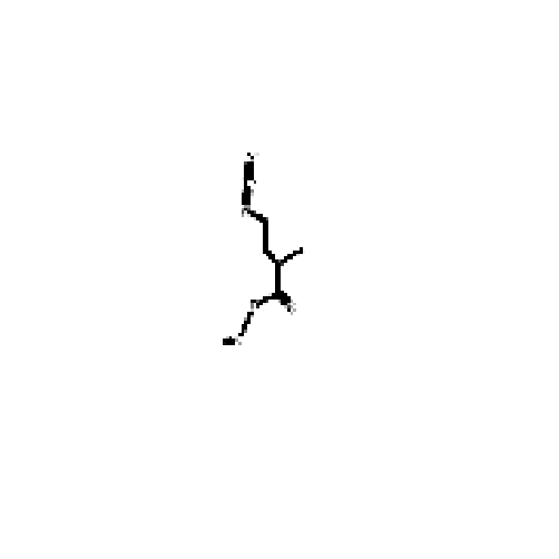 CCCCOC(=O)C(C)CCN=[N+]=[N-]